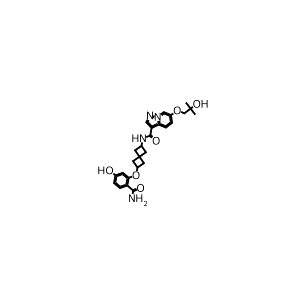 CC(C)(O)COc1ccc2c(C(=O)NC3CC4(C3)CC(Oc3cc(O)ccc3C(N)=O)C4)cnn2c1